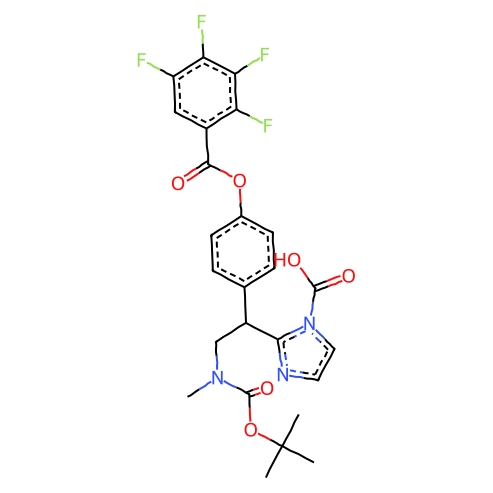 CN(CC(c1ccc(OC(=O)c2cc(F)c(F)c(F)c2F)cc1)c1nccn1C(=O)O)C(=O)OC(C)(C)C